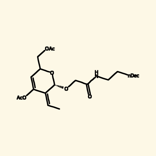 C/C=C1/C(OC(C)=O)=CC(COC(C)=O)O[C@@H]1OCC(=O)NCCCCCCCCCCCC